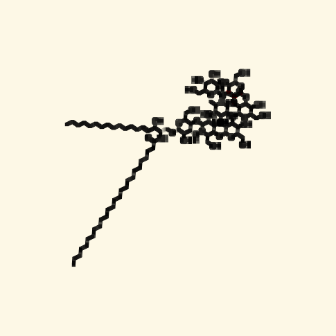 CCCCCCCCCCCCC/C=C/[C@@H](O)[C@H](CO[C@@H]1OC(CO)[C@@H](O[C@@H]2OC(CO)[C@H](O[C@@H]3OC(CO)[C@H](O)[C@H](O[C@@H]4OC(CO)[C@H](O)[C@H](O[C@@H]5OC(CO)[C@H](O)[C@H](O[C@H]6OC(CO)[C@H](O)[C@H](O)C6O)C5O[C@H]5OC(C)[C@@H](O)C(O)[C@@H]5O)C4NC(C)=O)C3O)[C@H](O)C2O)[C@H](O)C1O)NC(=O)CCCCCCCCCCCCCCCCCCCCCCCCC